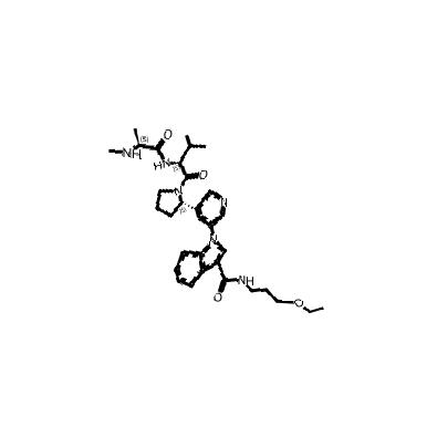 CCOCCCNC(=O)c1cn(-c2cncc([C@@H]3CCCN3C(=O)[C@@H](NC(=O)[C@H](C)NC)C(C)C)c2)c2ccccc12